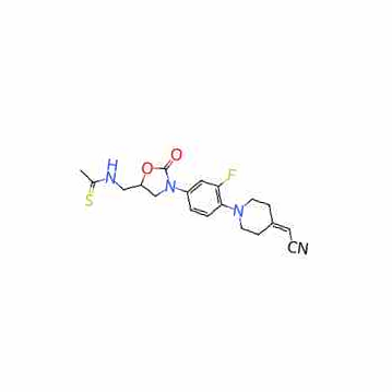 CC(=S)NCC1CN(c2ccc(N3CCC(=CC#N)CC3)c(F)c2)C(=O)O1